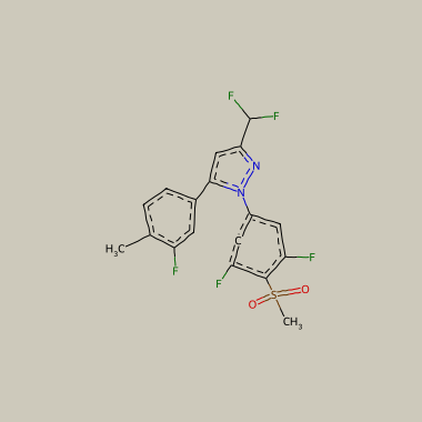 Cc1ccc(-c2cc(C(F)F)nn2-c2cc(F)c(S(C)(=O)=O)c(F)c2)cc1F